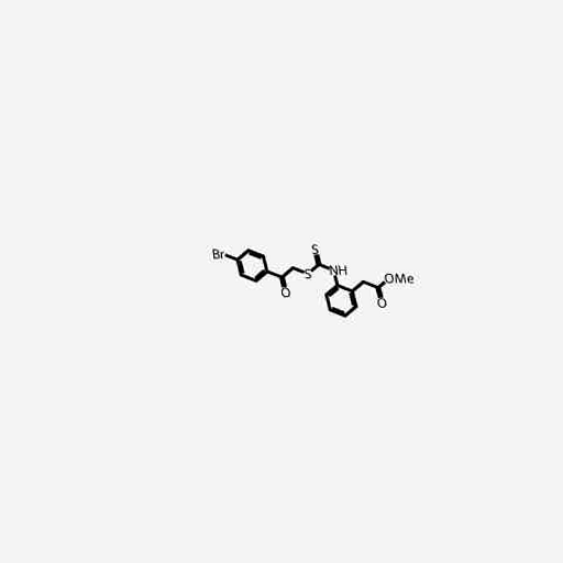 COC(=O)Cc1ccccc1NC(=S)SCC(=O)c1ccc(Br)cc1